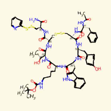 CC(=O)N[C@H](Cc1ccccc1)C(=O)N[C@H]1CSSC[C@@H](C(=O)N[C@@H](CSSc2ccccn2)C(N)=O)NC(=O)[C@H]([C@@H](C)O)NC(=O)[C@H](CCCCNC(=O)OC(C)(C)C)NC(=O)[C@@H](Cc2c[nH]c3ccccc23)NC(=O)[C@H](Cc2ccc(O)cc2)NC1=O